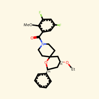 CCO[C@@H]1C[C@H](c2ccccc2)OC2(CCN(C(=O)c3cc(F)cc(F)c3OC)CC2)C1